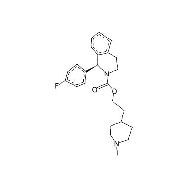 CN1CCC(CCOC(=O)N2CCc3ccccc3[C@@H]2c2ccc(F)cc2)CC1